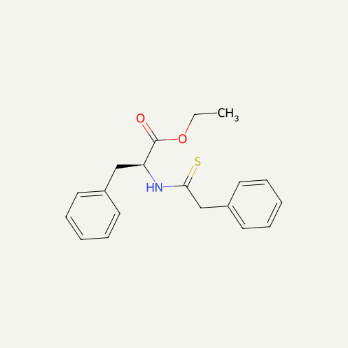 CCOC(=O)[C@H](Cc1ccccc1)NC(=S)Cc1ccccc1